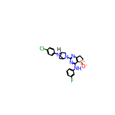 [O-][S+]1CCc2nc(N3C[C@H]4CC3CN4c3ccc(Cl)cc3)nc(Nc3cccc(F)c3)c21